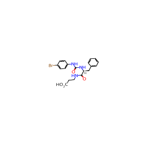 O=C(O)CCNC(=O)[C@H](Cc1ccccc1)NC(=O)Nc1ccc(Br)cc1